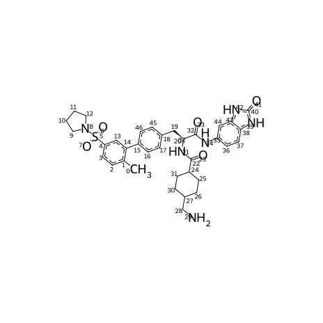 Cc1ccc(S(=O)(=O)N2CCCC2)cc1-c1ccc(C[C@H](NC(=O)C2CCC(CN)CC2)C(=O)Nc2ccc3[nH]c(=O)[nH]c3c2)cc1